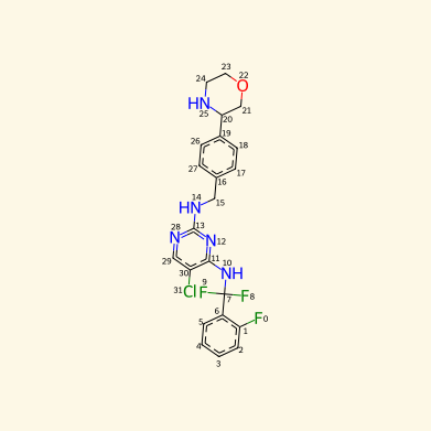 Fc1ccccc1C(F)(F)Nc1nc(NCc2ccc(C3COCCN3)cc2)ncc1Cl